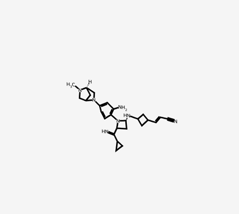 CN1CC2C[C@@H]1CN2c1ccc(N2C(C(=N)C3CC3)C[C@H]2NC2CC(/C=C/C#N)C2)c(N)c1